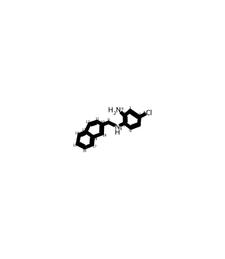 Nc1cc(Cl)ccc1NCc1ccc2ccccc2c1